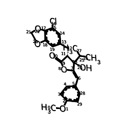 COc1ccc(/C=C2\OC(=O)[C@H](Cc3cc(Cl)c4c(c3)OCO4)[C@]2(O)C(C)C)cc1